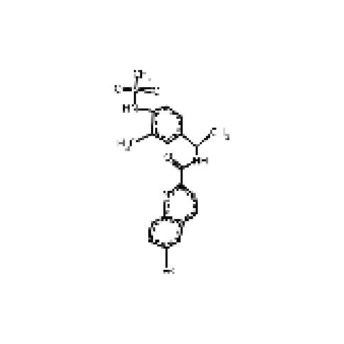 CC(=O)c1ccc2nc(C(=O)N[C@H](C)c3ccc(NS(C)(=O)=O)c(C)c3)ccc2c1